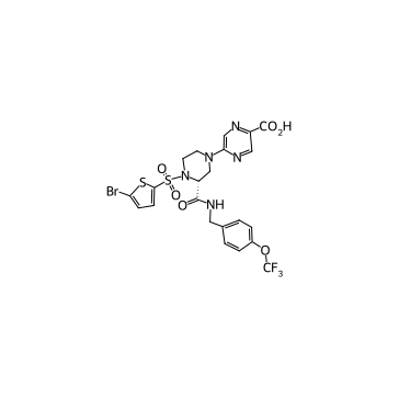 O=C(O)c1cnc(N2CCN(S(=O)(=O)c3ccc(Br)s3)[C@@H](C(=O)NCc3ccc(OC(F)(F)F)cc3)C2)cn1